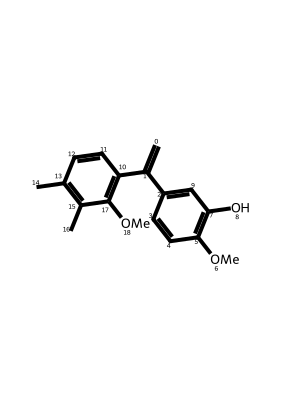 C=C(c1ccc(OC)c(O)c1)c1ccc(C)c(C)c1OC